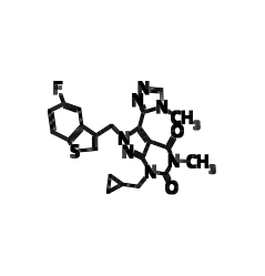 Cn1cnnc1-c1c2c(=O)n(C)c(=O)n(CC3CC3)c2nn1Cc1csc2ccc(F)cc12